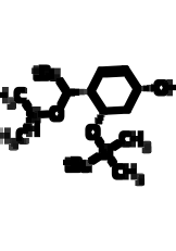 C[SiH](C)OC([C@@H]1C=C[C@H](O)C[C@@H]1O[Si](C)(C)C(C)(C)C)C(C)(C)C